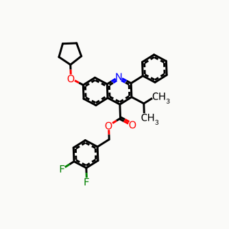 CC(C)c1c(-c2ccccc2)nc2cc(OC3CCCC3)ccc2c1C(=O)OCc1ccc(F)c(F)c1